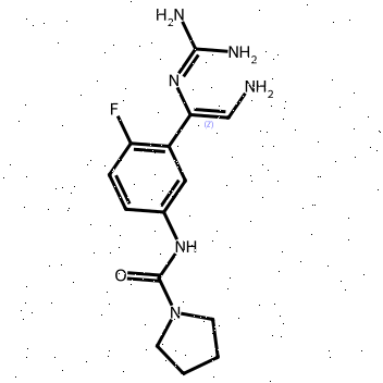 N/C=C(\N=C(N)N)c1cc(NC(=O)N2CCCC2)ccc1F